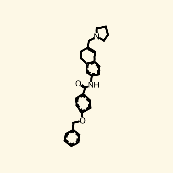 O=C(Nc1ccc2c(c1)CCC(CN1CCCC1)=C2)c1ccc(OCc2ccccc2)cc1